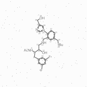 CC(=O)NC(Cc1cc(F)cc(F)c1)C(O)CNCc1cc(CC(C)(C)C)ccc1-n1cnc(CO)c1